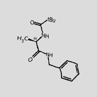 C[C@@H](NC(=O)C(C)(C)C)C(=O)NCc1ccccc1